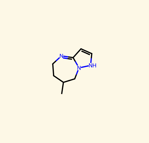 CC1CCN=C2C=CNN2C1